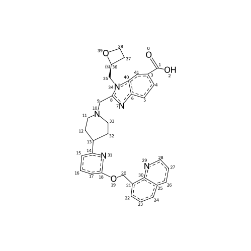 O=C(O)c1ccc2nc(CN3CCC(c4cccc(OCc5cccc6cccnc56)n4)CC3)n(C[C@@H]3CCO3)c2c1